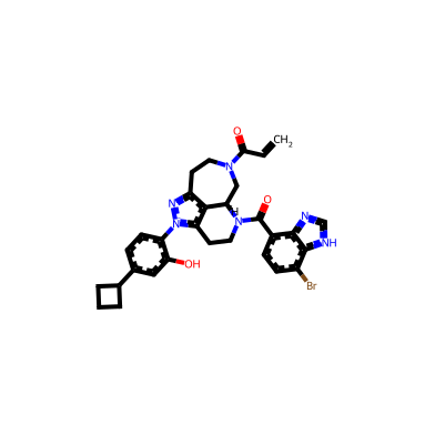 C=CC(=O)N1CCc2nn(-c3ccc(C4CCC4)cc3O)c3c2[C@H](C1)N(C(=O)c1ccc(Br)c2[nH]cnc12)CC3